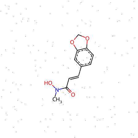 CN(O)C(=O)C=Cc1ccc2c(c1)OCO2